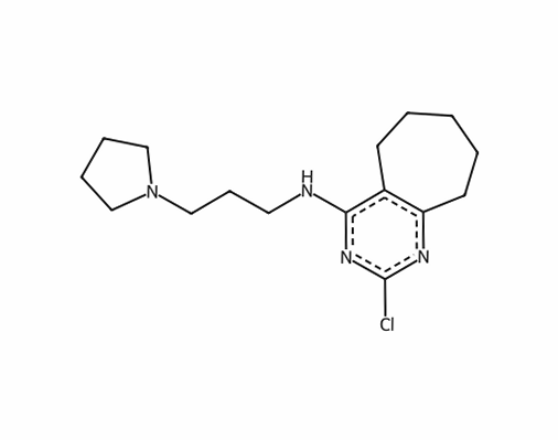 Clc1nc2c(c(NCCCN3CCCC3)n1)CCCCC2